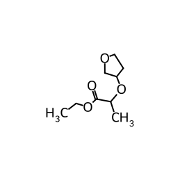 CCOC(=O)C(C)OC1CCOC1